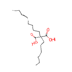 CCCCCCCCC(CCCCCC)(C(=O)O)C(=O)O